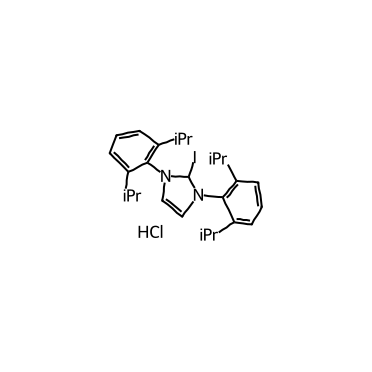 CC(C)c1cccc(C(C)C)c1N1C=CN(c2c(C(C)C)cccc2C(C)C)C1I.Cl